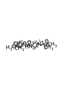 CC(=O)N(C)C1CCN(c2ccc(NC(=O)COc3ccc(C(C)(C)C)cc3)cc2)C1